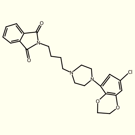 O=C1c2ccccc2C(=O)N1CCCCN1CCN(c2cc(Cl)cc3c2OCCO3)CC1